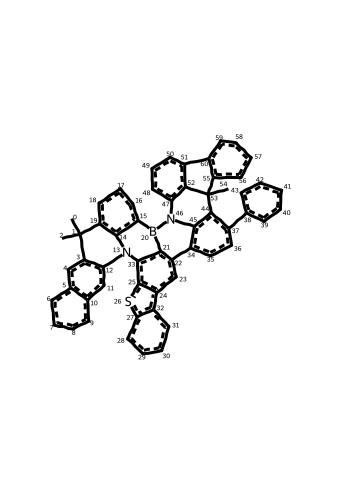 CC1(C)c2cc3ccccc3cc2N2c3c(cccc31)B1c3c(cc4c(sc5ccccc54)c32)-c2ccc(-c3ccccc3)c3c2N1c1cccc2c1C3(C)c1ccccc1-2